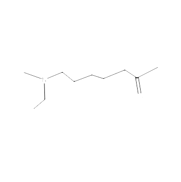 CC(=O)CCCCCN(C)CO